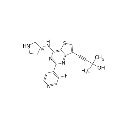 CC(C)(O)C#Cc1csc2c(N[C@@H]3CCNC3)nc(-c3ccncc3F)nc12